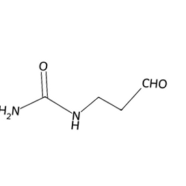 NC(=O)NCCC=O